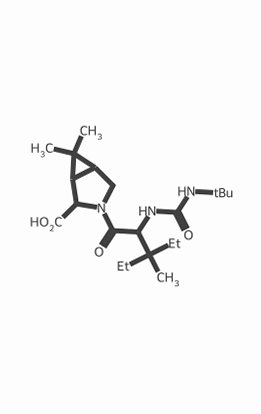 CCC(C)(CC)C(NC(=O)NC(C)(C)C)C(=O)N1CC2C(C1C(=O)O)C2(C)C